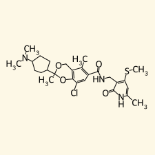 CSc1cc(C)[nH]c(=O)c1CNC(=O)c1cc(Cl)c2c(c1C)COC(C)(C1CCC(N(C)C)CC1)O2